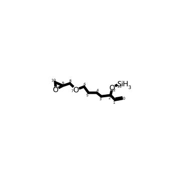 C=CC(CCCCOCC1CO1)O[SiH3]